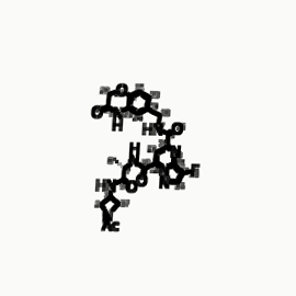 CC(=O)N1CC(NC(=O)[C@H](C)NC(=O)c2cc(C(=O)NCc3ccc4c(c3)NC(=O)CO4)nc3c(F)cnn23)C1